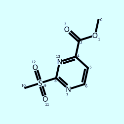 COC(=O)c1c[c]nc(S(C)(=O)=O)n1